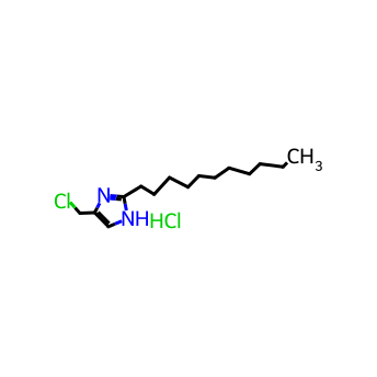 CCCCCCCCCCCc1nc(CCl)c[nH]1.Cl